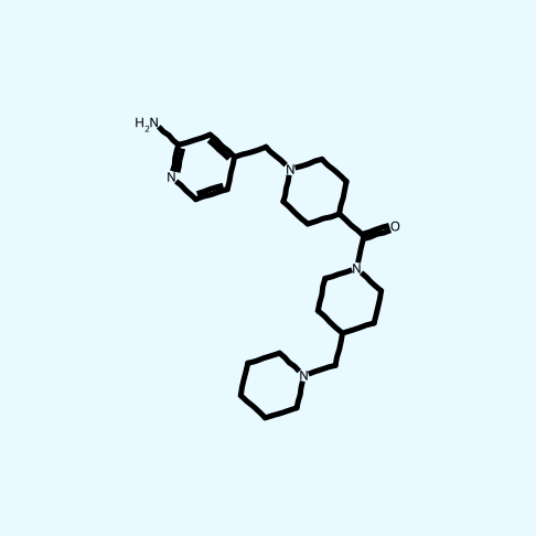 Nc1cc(CN2CCC(C(=O)N3CCC(CN4CCCCC4)CC3)CC2)ccn1